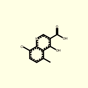 Cc1ccc(Cl)c2ncc(C(=O)O)c(O)c12